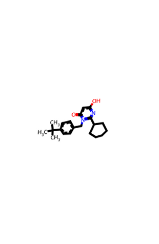 CC(C)(C)c1ccc(Cn2c(C3CCCCC3)nc(O)cc2=O)cc1